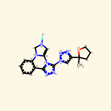 CC1(c2cn(-c3nnc4n3C3=CN(F)CN3c3ccccc3-4)nn2)CCCO1